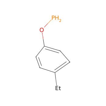 CCc1ccc(OP)cc1